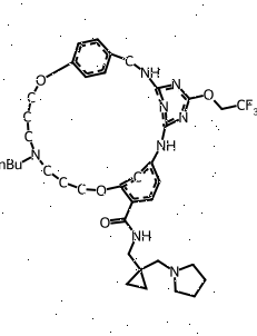 CCCCN1CCCOc2ccc(cc2)CNc2nc(nc(OCC(F)(F)F)n2)Nc2ccc(C(=O)NCC3(CN4CCCC4)CC3)c(c2)OCCC1